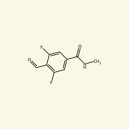 CNC(=O)c1cc(F)c(C=O)c(F)c1